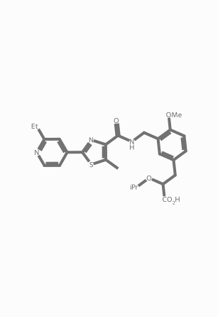 CCc1cc(-c2nc(C(=O)NCc3cc(CC(OC(C)C)C(=O)O)ccc3OC)c(C)s2)ccn1